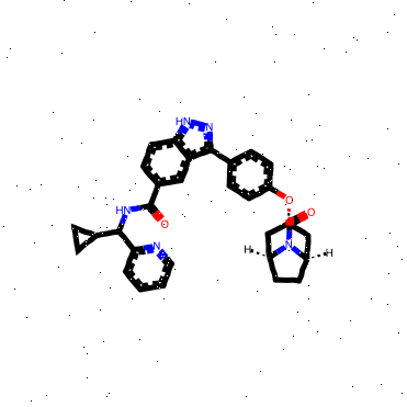 O=CN1[C@@H]2CC[C@H]1C[C@H](Oc1ccc(-c3n[nH]c4ccc(C(=O)NC(c5ccccn5)C5CC5)cc34)cc1)C2